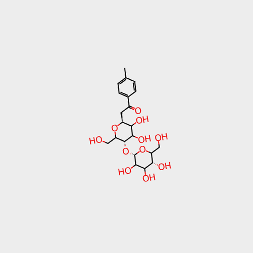 Cc1ccc(C(=O)C[C@@H]2OC(CO)[C@@H](O[C@@H]3OC(CO)[C@H](O)C(O)C3O)C(O)C2O)cc1